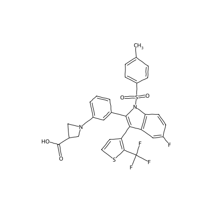 Cc1ccc(S(=O)(=O)n2c(-c3cccc(N4CC(C(=O)O)C4)c3)c(-c3ccsc3C(F)(F)F)c3cc(F)ccc32)cc1